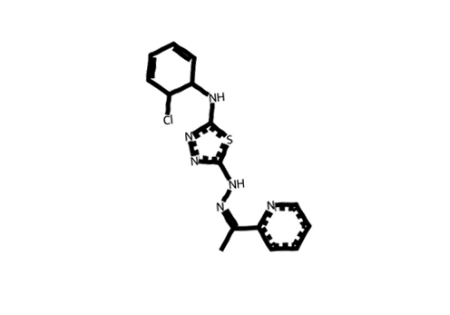 C/C(=N/Nc1nnc(NC2C=CC=CC2Cl)s1)c1ccccn1